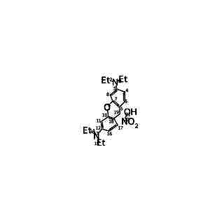 CCN(CC)c1ccc2c(c1)Oc1cc(N(CC)CC)ccc1C2.O=[N+]([O-])O